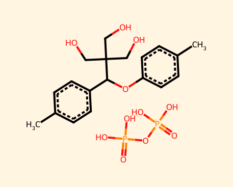 Cc1ccc(OC(c2ccc(C)cc2)C(CO)(CO)CO)cc1.O=P(O)(O)OP(=O)(O)O